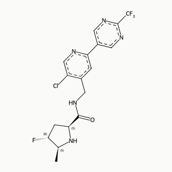 C[C@@H]1N[C@H](C(=O)NCc2cc(-c3cnc(C(F)(F)F)nc3)ncc2Cl)C[C@H]1F